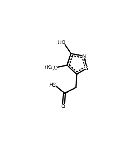 O=C(S)Cc1snc(O)c1C(=O)O